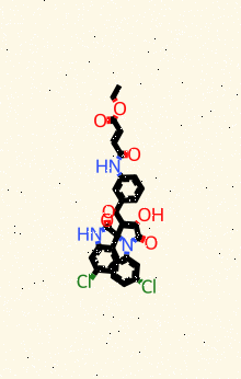 CCOC(=O)/C=C/C(=O)Nc1cccc(C(=O)C2=C(O)C(=O)N(c3cccc(Cl)c3)C23C(=O)Nc2cc(Cl)ccc23)c1